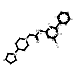 O=C(CN1CCC(N2CCCC2)CC1)Nc1cc(Cl)nc(-c2ccccc2)n1